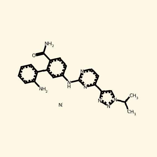 CC(C)n1cc(-c2ccnc(Nc3ccc(C(N)=O)c(-c4ccccc4N)c3)n2)nn1.[N]